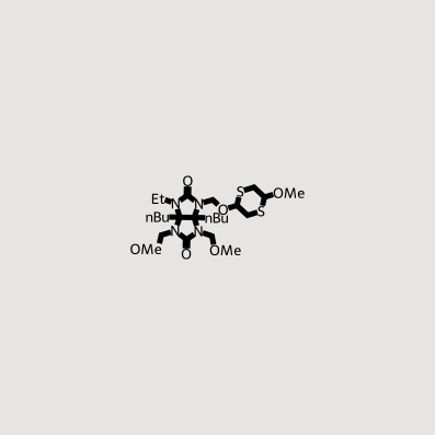 CCCCC12N(CC)C(=O)N(COC3CSC(OC)CS3)C1(CCCC)N(COC)C(=O)N2COC